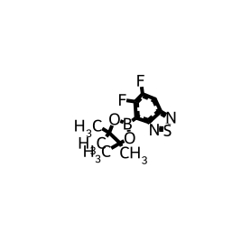 CC1(C)OB(c2c(F)c(F)cc3nsnc23)OC1(C)C